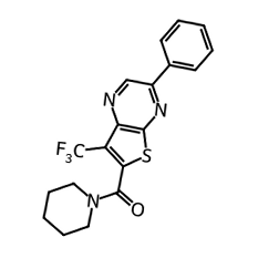 O=C(c1sc2nc(-c3ccccc3)cnc2c1C(F)(F)F)N1CCCCC1